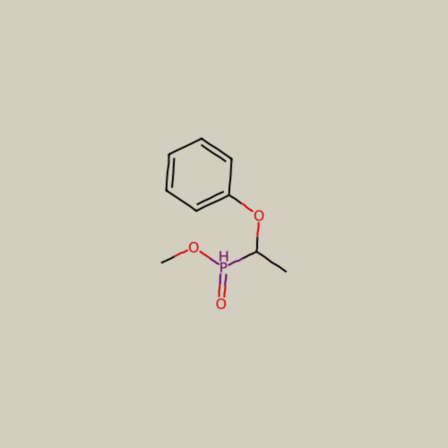 CO[PH](=O)C(C)Oc1ccccc1